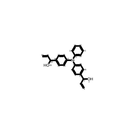 C=CC(O)c1ccc(N(c2ccccc2)c2ccc(C(O)C=C)cc2)cc1